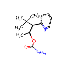 CC(OC(N)=O)C(c1ccccn1)C(C)(C)C